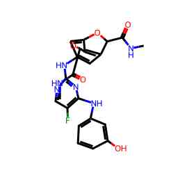 CNC(=O)C1Oc2c3c(Nc4ncc(F)c(Nc5cccc(O)c5)n4)cc1c2C(C(=O)NC)O3